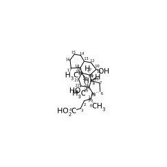 C[C@H](CCC(=O)O)[C@H]1CC[C@H]2[C@@H]3C(O)CC4CCCC[C@]4(C)[C@H]3CC(O)[C@]12C